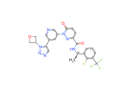 C[C@@H](NC(=O)c1ccc(=O)n(-c2cncc(-c3cnnn3C3COC3)c2)n1)c1cccc(C(F)(F)F)c1F